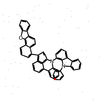 c1ccc(-c2ccccc2N(c2ccc(-c3cccc4c3ccc3c5ccccc5oc43)cc2)c2cccc3c4ccccc4n(-c4ccccc4)c23)cc1